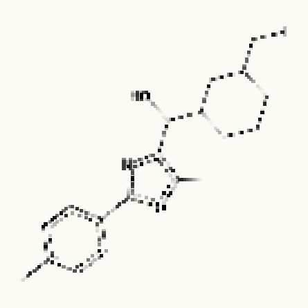 Cc1ccc(-c2nc(C(O)C3CCCC(CI)C3)c(C)o2)cc1